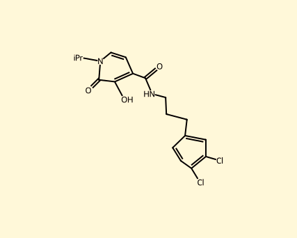 CC(C)n1ccc(C(=O)NCCCc2ccc(Cl)c(Cl)c2)c(O)c1=O